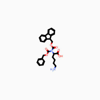 NCCCCC(C(=O)O)N(C(=O)OCc1ccccc1)C(=O)OCC1c2ccccc2-c2ccccc21